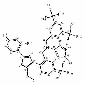 CCc1sc(-c2ccc(F)cc2F)nc1-c1ccc(C(F)(F)F)cc1CN(Cc1cc(C(F)(F)F)cc(C(F)(F)F)c1)c1nnn(C)n1